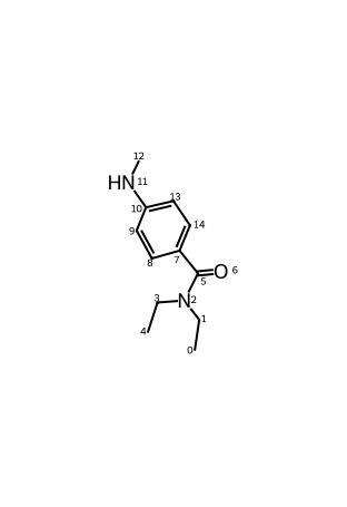 CCN(CC)C(=O)c1ccc(NC)cc1